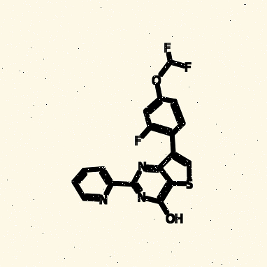 Oc1nc(-c2ccccn2)nc2c(-c3ccc(OC(F)F)cc3F)csc12